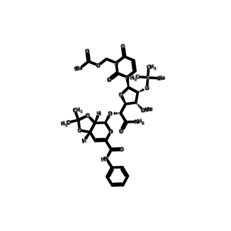 CO[C@H]1[C@@H](O[Si](C)(C)C(C)(C)C)[C@H](n2ccc(=O)n(COC(=O)C(C)(C)C)c2=O)O[C@@H]1[C@@H](O[C@H]1OC(C(=O)Nc2ccccc2)=C[C@@H]2OC(C)(C)O[C@H]12)C(N)=O